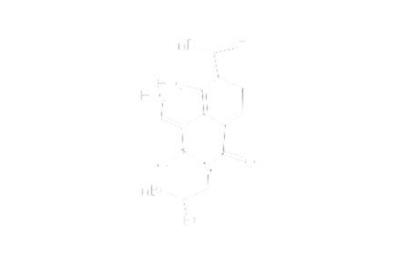 C/C=C1/C(=O)N(CC(CC)CCCC)C(=O)C2=CCC(C(CC)CCCC)C(C)=C21